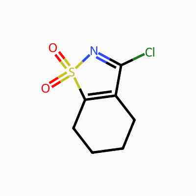 O=S1(=O)N=C(Cl)C2=C1CCCC2